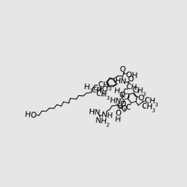 CC(=O)NC(Cc1ccc(OC(C)(C)C)cc1)C(=O)O.CC1=C2OC(C)(C)CC2C(C)C(S(=O)(=O)NC(CCCNC(=N)N)C(=O)O)=C1C.CCCCCCCCCCCCCCCCO